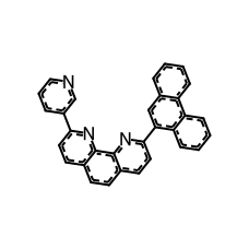 c1cncc(-c2ccc3ccc4ccc(-c5cc6ccccc6c6ccccc56)nc4c3n2)c1